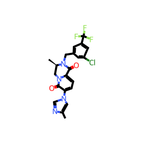 Cc1cn(-c2ccc3n(c2=O)C[C@@H](C)N(Cc2cc(Cl)cc(C(F)(F)F)c2)C3=O)cn1